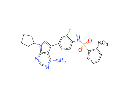 Nc1ncnc2c1c(-c1ccc(NS(=O)(=O)c3ccccc3[N+](=O)[O-])c(F)c1)cn2C1CCCC1